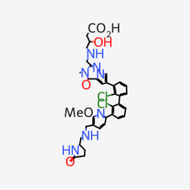 COc1nc(-c2cccc(-c3cccc(-c4cc5c(=O)n(C)c(CNCC(O)CC(=O)O)nn5c4)c3Cl)c2Cl)ccc1CNCC1CCC(=O)N1